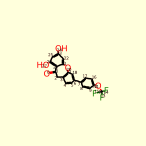 O=C1Cc2ccc(-c3ccc(OC(F)(F)F)cc3)cc2Oc2cc(O)cc(O)c21